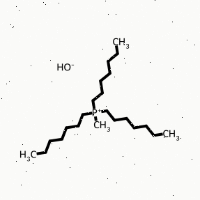 CCCCCCC[P+](C)(CCCCCCC)CCCCCCC.[OH-]